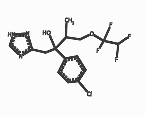 CC(COC(F)(F)C(F)F)C(O)(Cc1nc[nH]n1)c1ccc(Cl)cc1